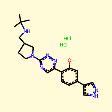 CC(C)(C)NCC1CCN(c2ncc(-c3ccc(-c4cn[nH]c4)cc3O)nn2)C1.Cl.Cl